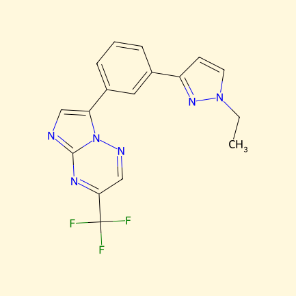 CCn1ccc(-c2cccc(-c3cnc4nc(C(F)(F)F)cnn34)c2)n1